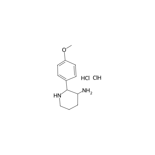 COc1ccc(C2NCCCC2N)cc1.Cl.Cl